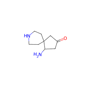 NC1CC(=O)CC12CCNCC2